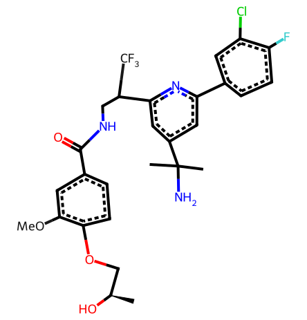 COc1cc(C(=O)NCC(c2cc(C(C)(C)N)cc(-c3ccc(F)c(Cl)c3)n2)C(F)(F)F)ccc1OC[C@@H](C)O